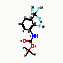 CC(C)(C)OC(=O)Nc1cccc(C(F)(F)F)c1F